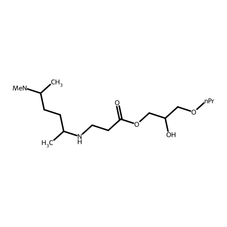 CCCOCC(O)COC(=O)CCNC(C)CCC(C)NC